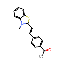 CCC(=O)c1ccc(C=CC2Sc3ccccc3N2C)cc1